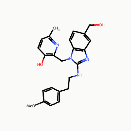 COc1ccc(CCNc2nc3cc(CO)ccc3n2Cc2nc(C)ccc2O)cc1